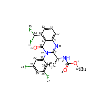 C[C@H](NC(=O)OC(C)(C)C)c1nc2cccc(C(F)F)c2c(=O)n1-c1cc(F)cc(F)c1